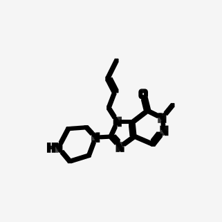 CC=CCn1c(N2CCNCC2)nc2cnn(C)c(=O)c21